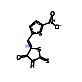 O=C1NC(=S)S/C1=C\c1ccc([N+](=O)[O-])s1